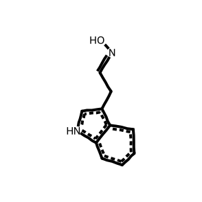 ON=CCc1c[nH]c2ccccc12